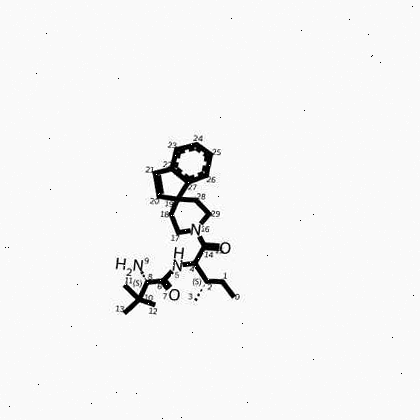 CC[C@H](C)C(NC(=O)[C@@H](N)C(C)(C)C)C(=O)N1CCC2(C=Cc3ccccc32)CC1